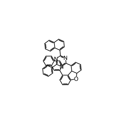 C1=CC2Oc3cccc(-c4ccc5ccccc5c4)c3C2C(c2nc(-c3ccccc3)nc(-c3cccc4ccccc34)n2)=C1